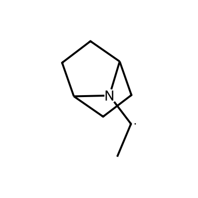 C[CH]N1C2CCC1CC2